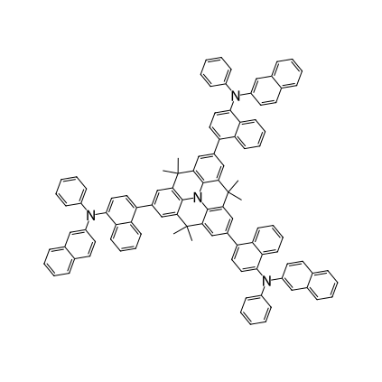 CC1(C)c2cc(-c3ccc(N(c4ccccc4)c4ccc5ccccc5c4)c4ccccc34)cc3c2N2c4c1cc(-c1ccc(N(c5ccccc5)c5ccc6ccccc6c5)c5ccccc15)cc4C(C)(C)c1cc(-c4ccc(N(c5ccccc5)c5ccc6ccccc6c5)c5ccccc45)cc(c12)C3(C)C